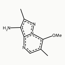 COc1c(C)cnc2c(N)c(C)nn12